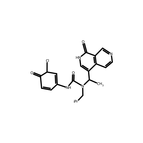 CC(C)CN(C(=O)NC1=CC(Cl)C(=O)C=C1)C(C)c1c[nH]c(=O)c2cnccc12